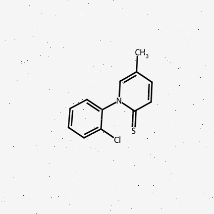 Cc1ccc(=S)n(-c2ccccc2Cl)c1